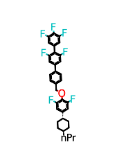 CCC[C@H]1CC[C@H](c2cc(F)c(OCc3ccc(-c4cc(F)c(-c5cc(F)c(F)c(F)c5)c(F)c4)cc3)c(F)c2)CC1